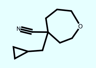 N#CC1(CC2CC2)CCCOCC1